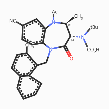 CC(=O)N1c2cc(C#N)ccc2N(Cc2c(C)ccc3ccccc23)C(=O)[C@@H](N(C(=O)O)C(C)(C)C)[C@@H]1C